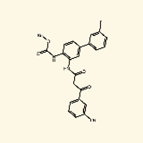 CC(C)(C)OC(=O)Nc1ccc(-c2cccc(F)c2)cc1NC(=O)CC(=O)c1cccc(C#N)c1